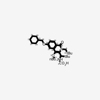 CCCCOc1c(C(NC(=O)O)C(C)(C)C)n(CC(C)(C)C)c(=O)c2ccc(OCC3CCCCC3)cc12